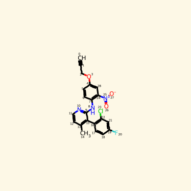 C#CCOc1ccc(Nc2nccc(C)c2-c2ccc(F)cc2Cl)c([N+](=O)[O-])c1